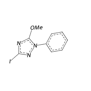 COc1nc(I)nn1-c1ccccc1